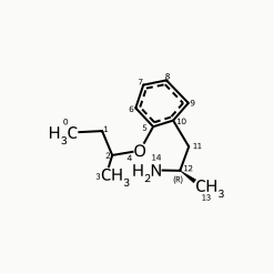 CCC(C)Oc1ccccc1C[C@@H](C)N